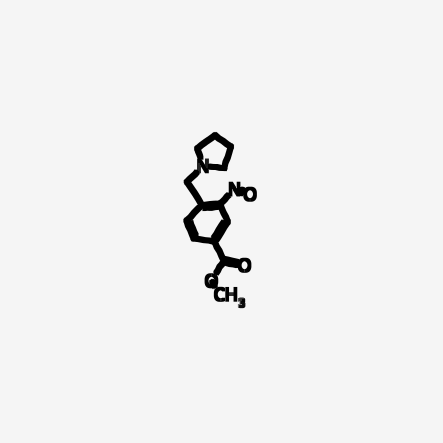 COC(=O)c1ccc(CN2CCCC2)c(N=O)c1